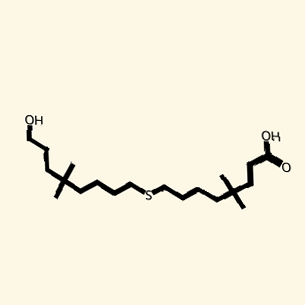 CC(C)(CCCO)CCCCSCCCCC(C)(C)CCC(=O)O